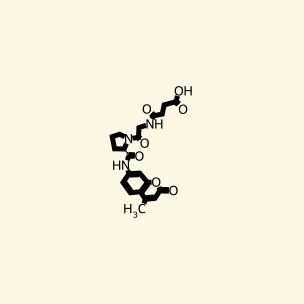 Cc1cc(=O)oc2cc(NC(=O)[C@@H]3CCCN3C(=O)CNC(=O)CCC(=O)O)ccc12